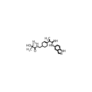 C=C(C(=N)Nc1ccc2[nH]ncc2c1)C1=CCC(CNC(=O)C(C)(C)O)CC1